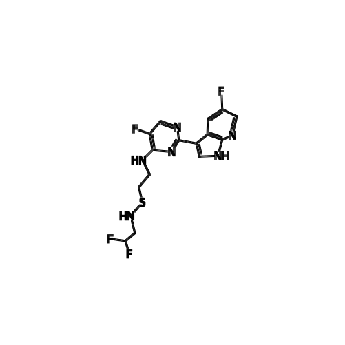 Fc1cnc2[nH]cc(-c3ncc(F)c(NCCSNCC(F)F)n3)c2c1